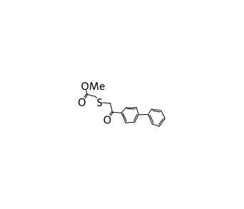 COC(=O)CSCC(=O)c1ccc(-c2ccccc2)cc1